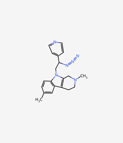 Cc1ccc2c(c1)c1c(n2CC(N=[N+]=[N-])c2ccncc2)CN(C)CC1